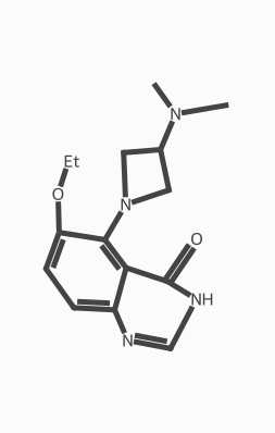 CCOc1ccc2nc[nH]c(=O)c2c1N1CC(N(C)C)C1